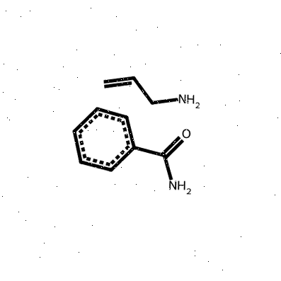 C=CCN.NC(=O)c1ccccc1